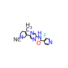 CC1=C(c2cnc(NC(=O)c3ccncc3F)cn2)CN(C#N)CC1